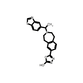 CC(c1ccc2scnc2c1)N1CCc2ccc(-c3nnc(O)o3)cc2CC1